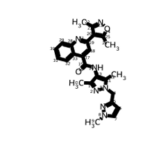 Cc1nn(Cc2ccn(C)n2)c(C)c1NC(=O)c1cc(-c2c(C)noc2C)nc2ccccc12